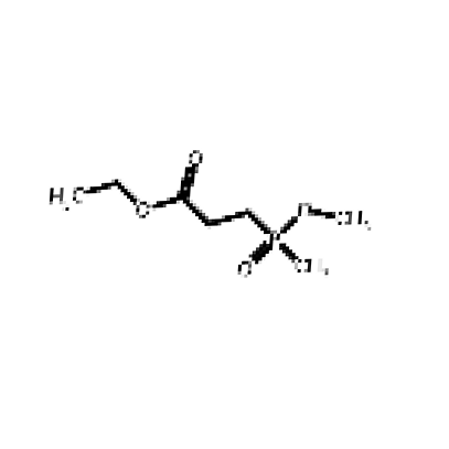 CCOC(=O)CCP(C)(=O)OC